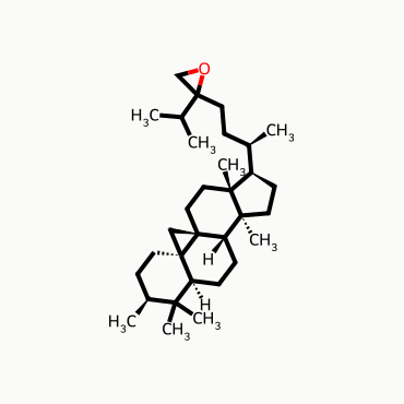 CC(C)C1(CC[C@@H](C)[C@H]2CC[C@@]3(C)[C@@H]4CC[C@H]5C(C)(C)[C@@H](C)CC[C@@]56C[C@@]46CC[C@]23C)CO1